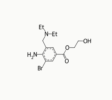 CCN(CC)Cc1cc(C(=O)OCCO)cc(Br)c1N